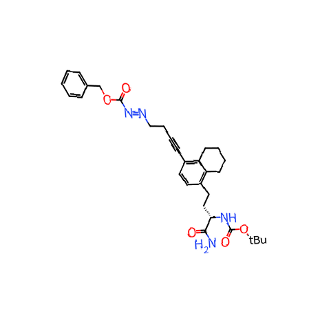 CC(C)(C)OC(=O)N[C@@H](CCc1ccc(C#CCCN=NC(=O)OCc2ccccc2)c2c1CCCC2)C(N)=O